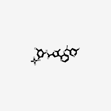 Cc1sc(C(=O)Nc2cc(Cl)cc(NS(C)(=O)=O)c2)cc1-c1ncccc1O[C@@H](C)c1cncc(F)c1